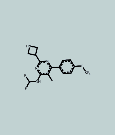 Cc1c(NC(F)F)nc(C2CNC2)nc1-c1ccc(OC(F)(F)F)cc1